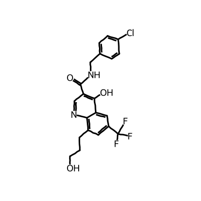 O=C(NCc1ccc(Cl)cc1)c1cnc2c(CCCO)cc(C(F)(F)F)cc2c1O